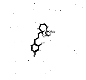 COC1(CCCc2ccc(F)cc2F)CCCC[Si]1(OC)OC